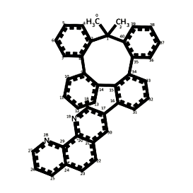 CC1(C)c2ccccc2-c2ccccc2-c2c(-c3cnc4c(ccc5cccnc54)c3)cccc2-c2ccccc21